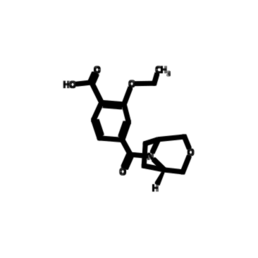 CCOc1cc(C(=O)N2C3CC[C@H]2COC3)ccc1C(=O)O